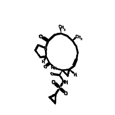 C[C@H]1CC/C=C\[C@@H]2C[C@@]2(C(=O)NS(=O)(=O)C2CC2)NC(=O)[C@@H]2CCCN2C(=O)C[C@H](C)C1